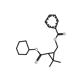 CC1(C)C(COC(=O)c2ccccc2)C1C(=O)OC1CCCCC1